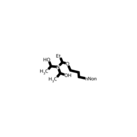 CCCCCCCCCCCCOC(CC)N(C(C)O)C(C)O